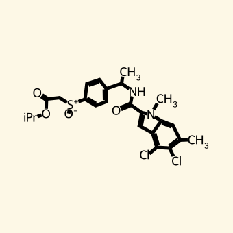 Cc1cc2c(cc(C(=O)NC(C)c3ccc([S+]([O-])CC(=O)OC(C)C)cc3)n2C)c(Cl)c1Cl